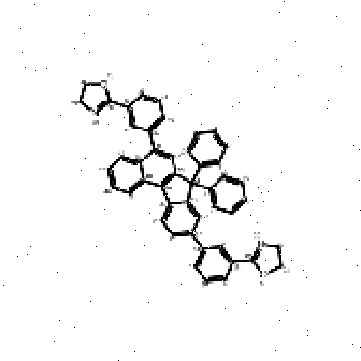 c1ccc(C2(c3ccccc3)c3cc(-c4cccc(C5=NCCO5)c4)ccc3-c3c2cc(-c2cccc(C4=NCCO4)c2)c2ccccc32)cc1